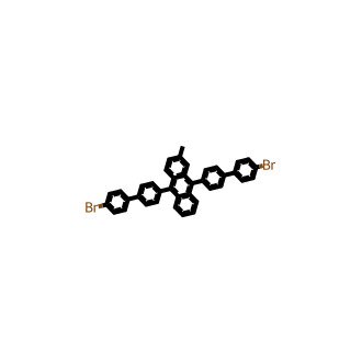 Cc1ccc2c(-c3ccc(-c4ccc(Br)cc4)cc3)c3ccccc3c(-c3ccc(-c4ccc(Br)cc4)cc3)c2c1